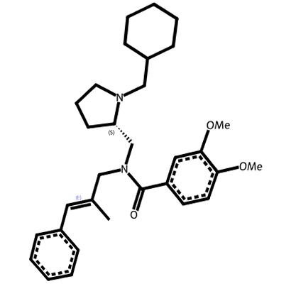 COc1ccc(C(=O)N(C/C(C)=C/c2ccccc2)C[C@@H]2CCCN2CC2CCCCC2)cc1OC